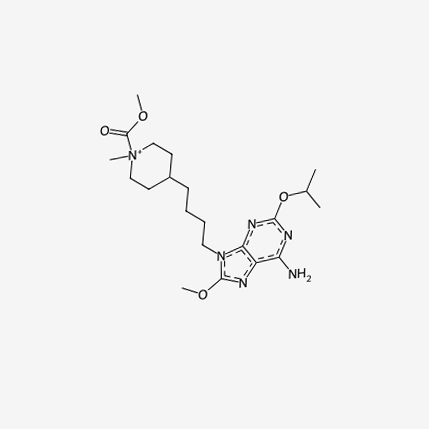 COC(=O)[N+]1(C)CCC(CCCCn2c(OC)nc3c(N)nc(OC(C)C)nc32)CC1